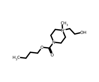 CCCCOC(=O)N1CC[N+](C)(CCO)CC1